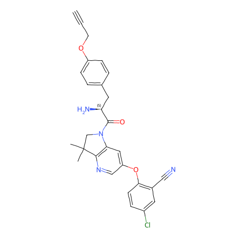 C#CCOc1ccc(C[C@H](N)C(=O)N2CC(C)(C)c3ncc(Oc4ccc(Cl)cc4C#N)cc32)cc1